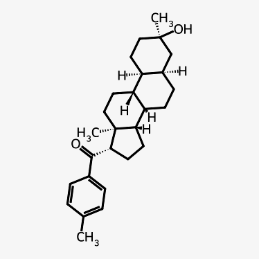 Cc1ccc(C(=O)[C@H]2CC[C@H]3[C@@H]4CC[C@@H]5C[C@](C)(O)CC[C@@H]5[C@H]4CC[C@]23C)cc1